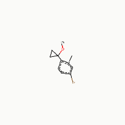 Cc1cc(Br)ccc1C1(OC(C)C)CC1